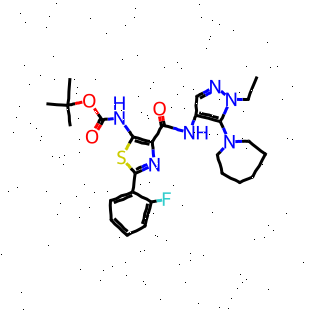 CCn1ncc(NC(=O)c2nc(-c3ccccc3F)sc2NC(=O)OC(C)(C)C)c1N1CCCCCC1